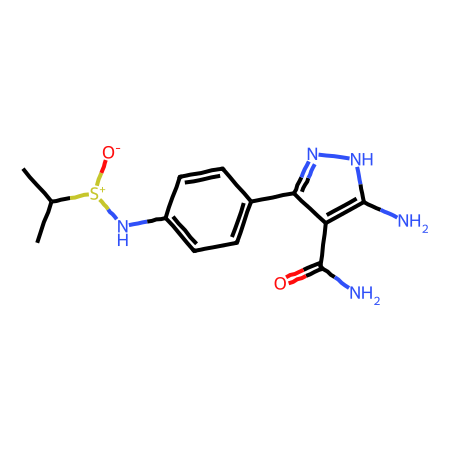 CC(C)[S+]([O-])Nc1ccc(-c2n[nH]c(N)c2C(N)=O)cc1